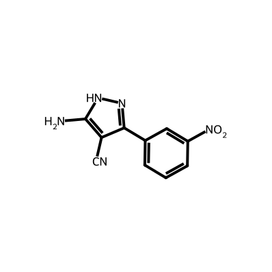 N#Cc1c(-c2cccc([N+](=O)[O-])c2)n[nH]c1N